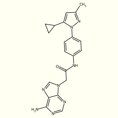 Cc1cc(C2CC2)n(-c2ccc(NC(=O)Cn3cnc4c(N)ncnc43)cc2)n1